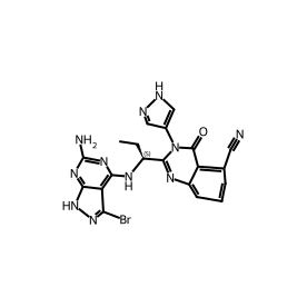 CC[C@H](Nc1nc(N)nc2[nH]nc(Br)c12)c1nc2cccc(C#N)c2c(=O)n1-c1cn[nH]c1